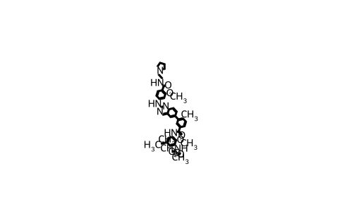 COc1cc(Nc2ncc3cc(-c4cc(C(=O)Nc5cc(C(C)(C)C)cc(NS(C)(=O)=O)c5OC)ccc4C)ccc3n2)ccc1C(=O)NCCN1CCCC1